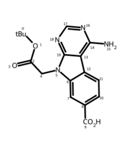 CC(C)(C)OC(=O)Cn1c2cc(C(=O)O)ccc2c2c(N)ncnc21